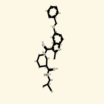 Cc1oc2ccc(OCc3ccccc3)cc2c1C(=O)N1CCCC(C(=O)NCC(C)C)C1